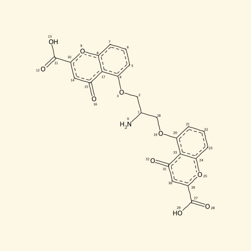 NC(COc1cccc2oc(C(=O)O)cc(=O)c12)COc1cccc2oc(C(=O)O)cc(=O)c12